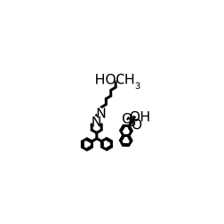 CC(O)CCCCCC/N=C/N1CCC(C(c2ccccc2)c2ccccc2)CC1.O=S(=O)(O)c1ccc2ccccc2c1